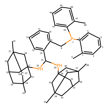 Cc1ccccc1P(Cc1ccccc1C(PC12CC3CC(C)(CC(C)(C3)C1)C2)PC12CC3CC(C)(CC(C)(C3)C1)C2)c1ccccc1C